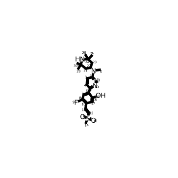 CN(c1ccc(-c2cc(F)c(C=CS(C)(=O)=O)cc2O)nn1)C1CC(C)(C)NC(C)(C)C1